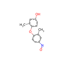 Cc1cc(O)ccc1Oc1ccc(N=O)cc1C